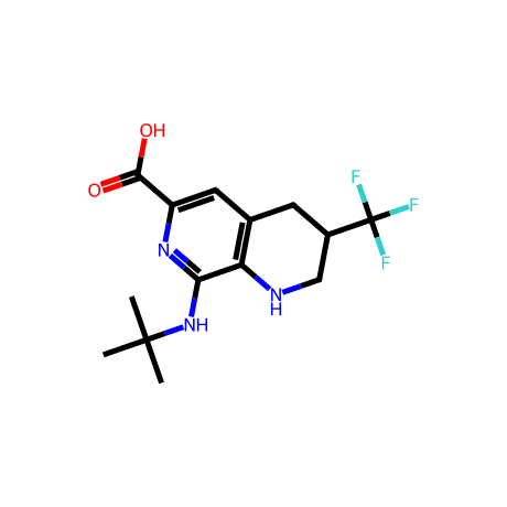 CC(C)(C)Nc1nc(C(=O)O)cc2c1NCC(C(F)(F)F)C2